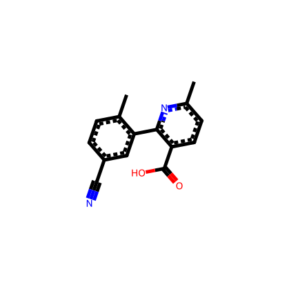 Cc1ccc(C(=O)O)c(-c2cc(C#N)ccc2C)n1